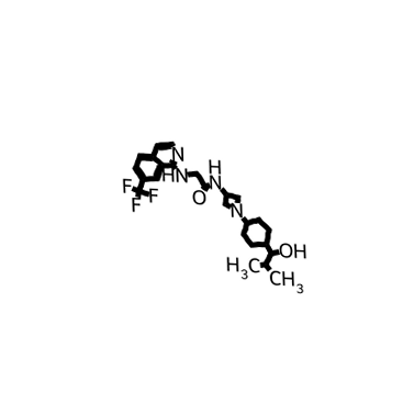 CC(C)C(O)C1CCC(N2CC(NC(=O)CNc3nccc4ccc(C(F)(F)F)cc34)C2)CC1